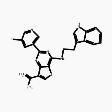 C=C(C)c1csc2c(NCCc3c[nH]c4ccccc34)nc(-c3cncc(F)c3)nc12